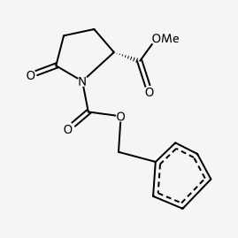 COC(=O)[C@H]1CCC(=O)N1C(=O)OCc1ccccc1